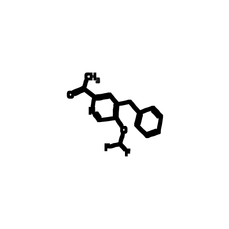 CC(=O)c1cc(Cc2ccccc2)c(OC(F)F)cn1